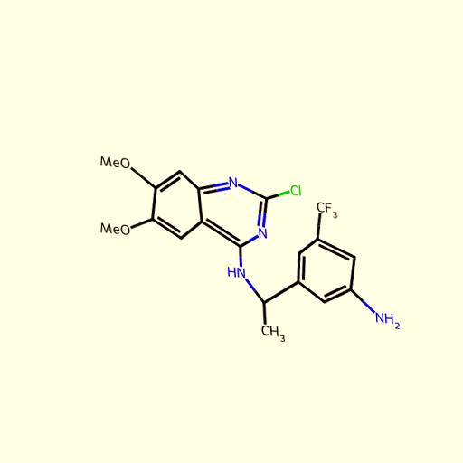 COc1cc2nc(Cl)nc(NC(C)c3cc(N)cc(C(F)(F)F)c3)c2cc1OC